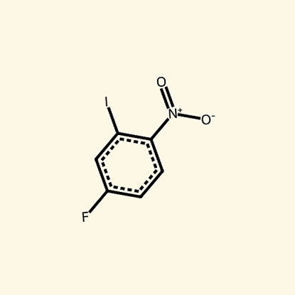 O=[N+]([O-])c1ccc(F)cc1I